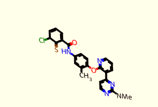 CNc1nccc(-c2cccnc2Oc2ccc(NC(=O)C3=CC=CC(Cl)C3=S)cc2C)n1